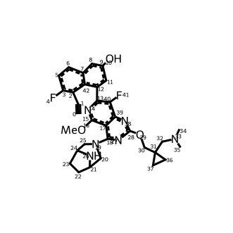 C#Cc1c(F)ccc2cc(O)cc(-c3nc(OC)c4c(N5CC6CCC(C5)N6)nc(OCC5(CN(C)C)CC5)nc4c3F)c12